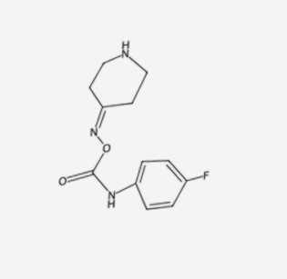 O=C(Nc1ccc(F)cc1)ON=C1CCNCC1